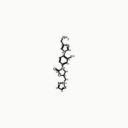 NCc1cn(-c2ccc(N3CC(Cn4nccn4)OC3=O)cc2F)cn1